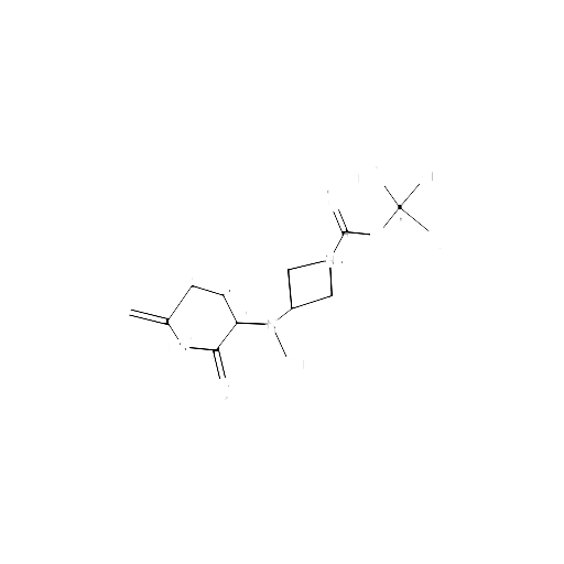 CN(C1CN(C(=O)OC(C)(C)C)C1)C1CCC(=O)NC1=O